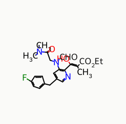 CCOC(=O)/C(C)=C(\O)c1ncc(Cc2ccc(F)cc2)cc1N(C=O)CC(=O)N(C)C